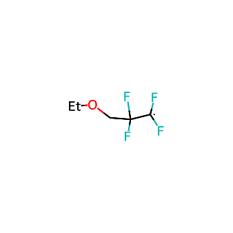 CCOCC(F)(F)[C](F)F